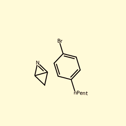 C1C2=NC12.CCCCCc1ccc(Br)cc1